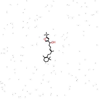 CC(=CCCC(O)c1coc([Si](C)(C)C)c1)CCC1=C(C)CCCC1(C)C